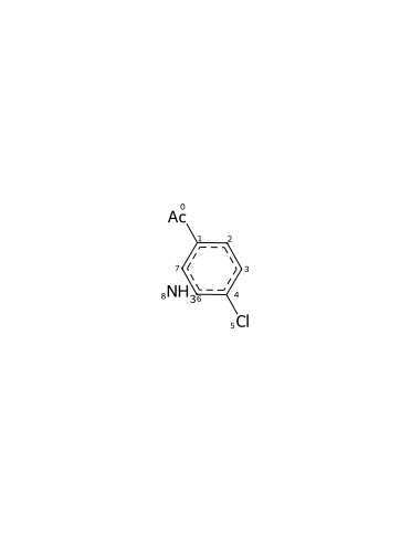 CC(=O)c1ccc(Cl)cc1.N